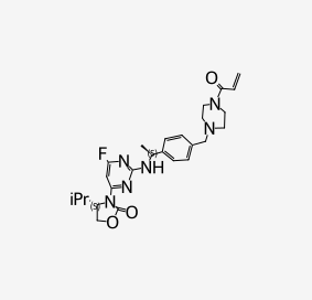 C=CC(=O)N1CCN(Cc2ccc([C@H](C)Nc3nc(F)cc(N4C(=O)OC[C@@H]4C(C)C)n3)cc2)CC1